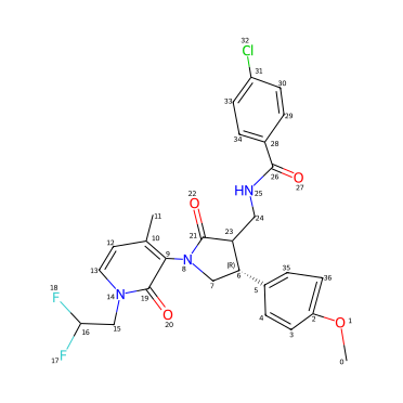 COc1ccc([C@@H]2CN(c3c(C)ccn(CC(F)F)c3=O)C(=O)C2CNC(=O)c2ccc(Cl)cc2)cc1